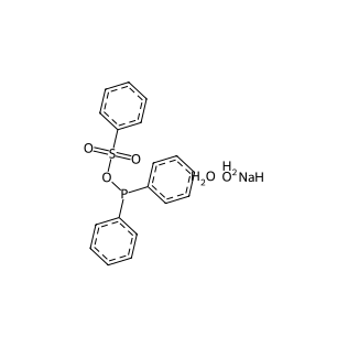 O.O.O=S(=O)(OP(c1ccccc1)c1ccccc1)c1ccccc1.[NaH]